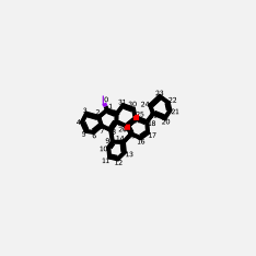 Ic1c2ccccc2c(-c2ccccc2-c2ccc(-c3ccccc3)cc2)c2ccccc12